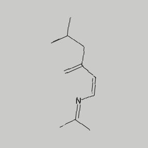 C=C(/C=C\N=C(C)C)CC(C)C